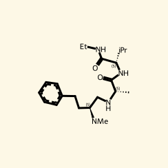 CCNC(=O)[C@@H](NC(=O)[C@H](C)NC[C@H](CCc1ccccc1)NC)C(C)C